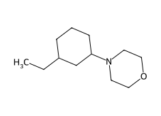 CCC1CCCC(N2CCOCC2)C1